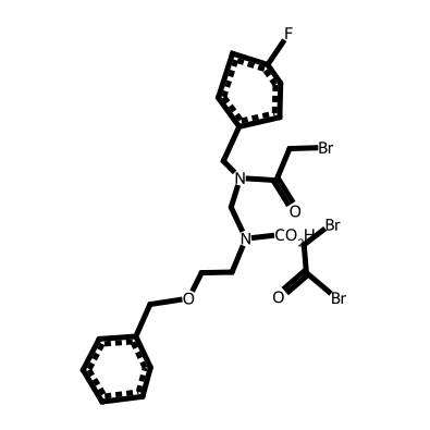 O=C(Br)CBr.O=C(O)N(CCOCc1ccccc1)CN(Cc1ccc(F)cc1)C(=O)CBr